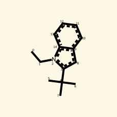 CCn1c(C(C)(C)C)cc2ccccc21